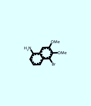 COc1cc2c(N)cccc2c(Br)c1OC